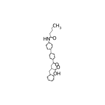 CCCCC(=O)Nc1ccc(-c2ccc(C(=O)CC(Cc3ccccc3)C(=O)O)cc2)cc1